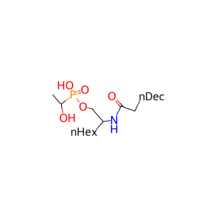 CCCCCCCCCCCC(=O)NC(CCCCCC)COP(=O)(O)C(C)O